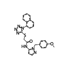 COc1ccc(Cn2nccc2NC(=O)CSc2nnnn2-c2cccc3ccccc23)cc1